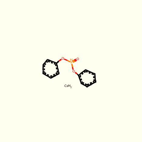 O=[PH](Oc1ccccc1)Oc1ccccc1.[CaH2]